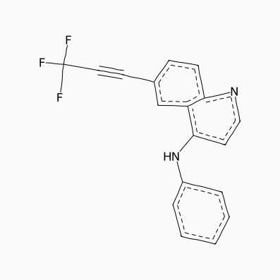 FC(F)(F)C#Cc1ccc2nccc(Nc3ccccc3)c2c1